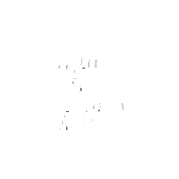 CCOC(Cc1ccc(OCCOC2=C3CC(C(C)c4ccccc4)=CC=C3C=Cc3cc(CC)ccc32)cc1)C(=O)O